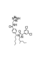 CCCCCC(c1ccc(C(=O)NCc2nn[nH]n2)cc1)N1C(=O)C(c2cc(Cl)cc(Cl)c2)=NC1CC(C)CCC